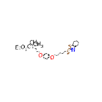 CCOC(=O)C(C)(C)CCCCOc1ccc(OCCCCCSc2nc3ccccc3s2)cc1